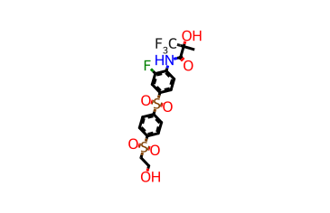 CC(O)(C(=O)Nc1ccc(S(=O)(=O)c2ccc(S(=O)(=O)CCO)cc2)cc1F)C(F)(F)F